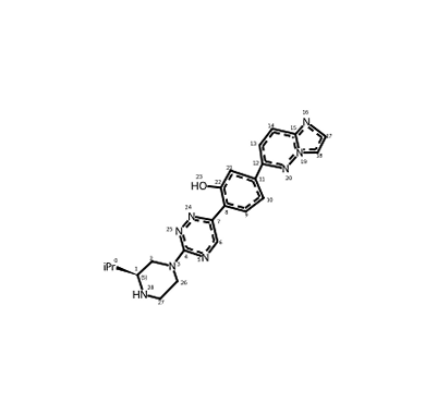 CC(C)[C@H]1CN(c2ncc(-c3ccc(-c4ccc5nccn5n4)cc3O)nn2)CCN1